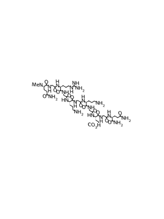 CN[C@@H](CCC(N)=O)C(=O)NCC(=O)N[C@@H](CCCNC(=N)N)C(=O)NCC(=O)N[C@@H](CCCN)C(=O)NCC(=O)N[C@@H](CCCN)C(=O)NCC(=O)N[C@@H](CCC(=O)O)C(=O)NCC(=O)N[C@@H](CCC(N)=O)C(N)=O